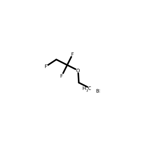 CCOC(F)(F)CF.[B]